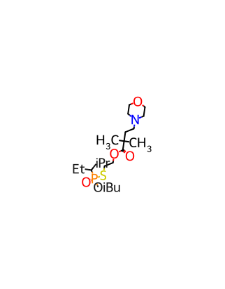 CCC(C(C)C)P(=O)(OCC(C)C)SCCOC(=O)C(C)(C)CCN1CCOCC1